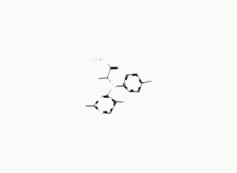 CCC(C(=O)OC)N(c1ccc(Cl)cc1)c1nc(Cl)ncc1[N+](=O)[O-]